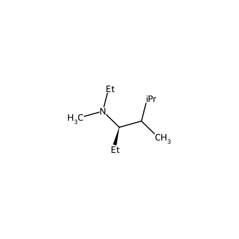 CC[C@H](C(C)C(C)C)N(C)CC